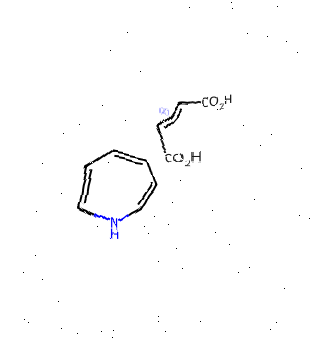 C1=CC=CNC=C1.O=C(O)/C=C\C(=O)O